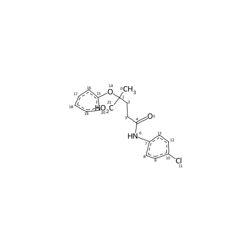 CC(CCC(=O)Nc1ccc(Cl)cc1)(Oc1ccccc1)C(=O)O